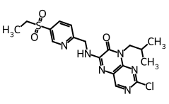 CCS(=O)(=O)c1ccc(CNc2nc3cnc(Cl)nc3n(CC(C)C)c2=O)nc1